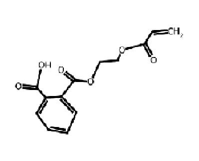 C=CC(=O)OCCOC(=O)c1ccccc1C(=O)O